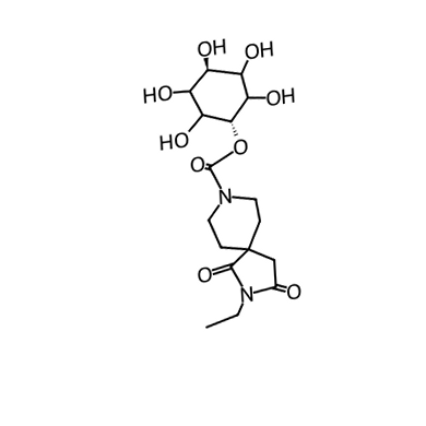 CCN1C(=O)CC2(CCN(C(=O)O[C@H]3C(O)C(O)[C@H](O)C(O)C3O)CC2)C1=O